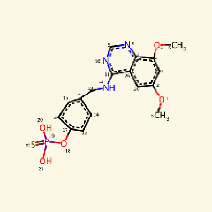 COc1cc(OC)c2ncnc(NCc3ccc(OP(O)(O)=S)cc3)c2c1